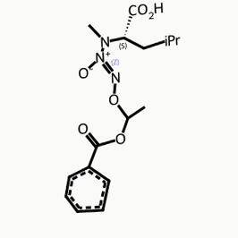 CC(C)C[C@@H](C(=O)O)N(C)/[N+]([O-])=N/OC(C)OC(=O)c1ccccc1